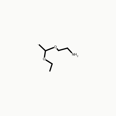 [CH2]C(OCC)OCCN